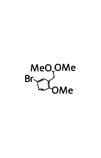 COc1ccc(Br)cc1CC(OC)OC